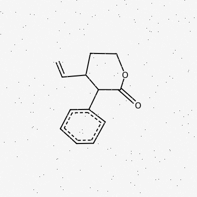 C=CC1CCOC(=O)C1c1ccccc1